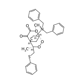 C[C@@]1(N(Cc2ccccc2)Cc2ccccc2)CC[C@@]23C[C@]1(OO[C@@]2(C)CSc1ccccc1)OC(=O)C3=O